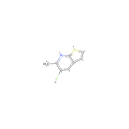 Cc1nc2sccc2cc1F